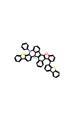 C[C@]12c3ccc4c(sc5ccccc54)c3N(c3ccccc3)c3cccc(c31)-c1c2c2ccccc2c2c1oc1cccc(-c3cccc4c3sc3ccccc34)c12